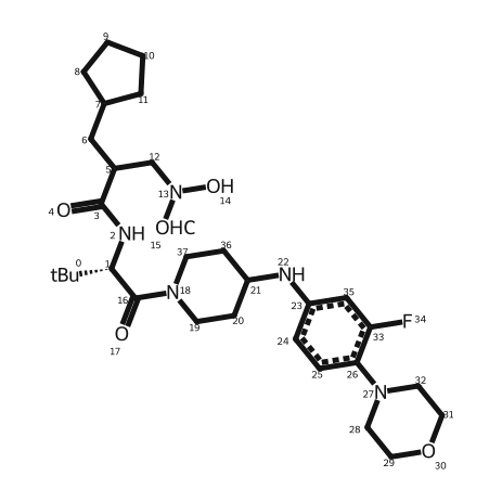 CC(C)(C)[C@H](NC(=O)C(CC1CCCC1)CN(O)C=O)C(=O)N1CCC(Nc2ccc(N3CCOCC3)c(F)c2)CC1